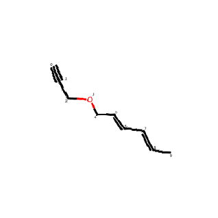 C#CCOC/C=C/C=C/C